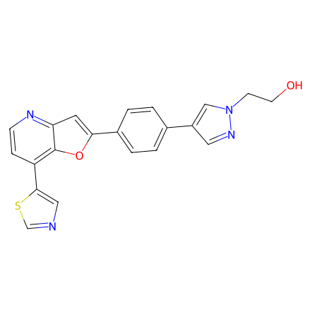 OCCn1cc(-c2ccc(-c3cc4nccc(-c5cncs5)c4o3)cc2)cn1